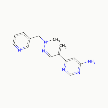 C=C(/C=N\N(C)Cc1cccnc1)c1cc(N)ncn1